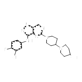 OC1CCN(C2CCN(c3ncc4ncnc(Nc5ccc(F)c(Cl)c5)c4n3)CC2)CC1